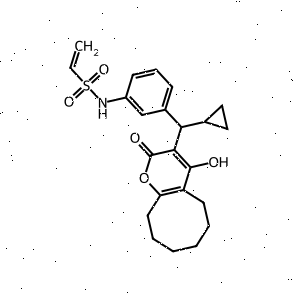 C=CS(=O)(=O)Nc1cccc(C(c2c(O)c3c(oc2=O)CCCCCC3)C2CC2)c1